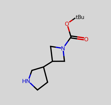 CC(C)(C)OC(=O)N1CC(C2CCNC2)C1